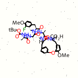 COc1ccc(C[C@@H](C(=O)N[C@@H](C)C(=O)N(C)[C@H]2Cc3ccc(cc3)Oc3cc(ccc3OC)C[C@@H](C(=O)O)NC2=O)N(C)C(=O)[C@H](C)NC(=O)[C@@H](C)NC(=O)OC(C)(C)C)cc1F